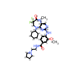 COc1cc(C(=O)NCCN2CCCC2)ccc1Nc1ncc2c(n1)N(C1CCCCC1)CC(F)(F)C(=O)N2C